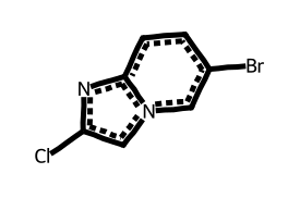 Clc1cn2cc(Br)ccc2n1